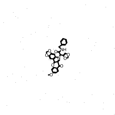 COc1ccc(C(=O)c2cn(C(C(=O)NCc3ccccc3)C3=COCO3)c3cc4c(cc3c2=O)OCO4)cc1